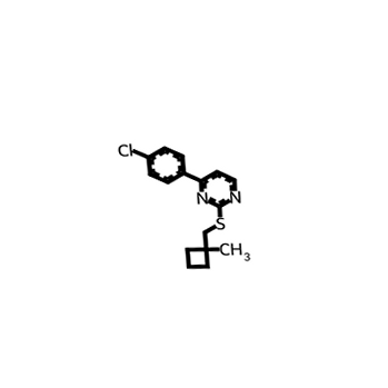 CC1(CSc2nccc(-c3ccc(Cl)cc3)n2)CCC1